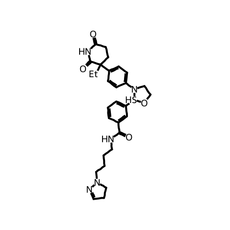 CCC1(c2ccc(N3CCO[SH]3c3cccc(C(=O)NCCCCN4CCC=N4)c3)cc2)CCC(=O)NC1=O